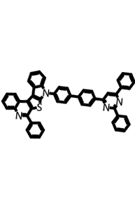 c1ccc(-c2cc(-c3ccc(-c4ccc(-n5c6ccccc6c6c7c(sc65)c(-c5ccccc5)nc5ccccc57)cc4)cc3)nc(-c3ccccc3)n2)cc1